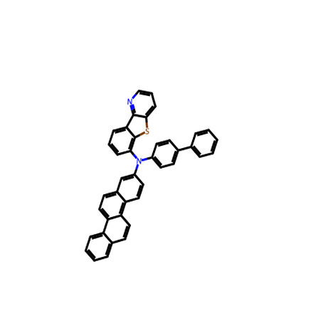 c1ccc(-c2ccc(N(c3ccc4c(ccc5c6ccccc6ccc45)c3)c3cccc4c3sc3cccnc34)cc2)cc1